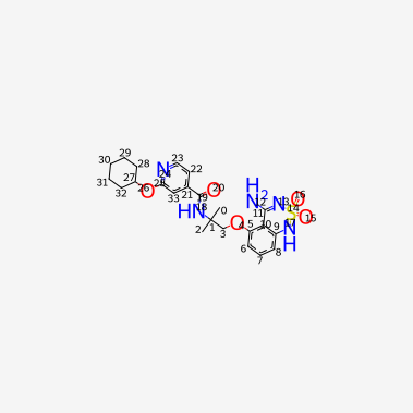 CC(C)(COc1cccc2c1C(N)=NS(=O)(=O)N2)NC(=O)c1ccnc(OC2CCCCC2)c1